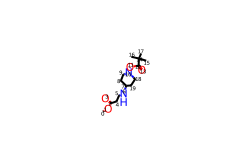 COC(=O)CCNC1CCN(OC(=O)C(C)(C)C)CC1